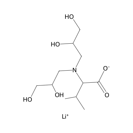 CC(C)C(C(=O)[O-])N(CC(O)CO)CC(O)CO.[Li+]